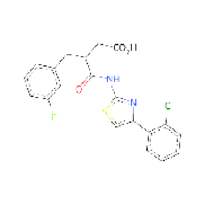 O=C(O)CC(Cc1cccc(F)c1)C(=O)Nc1nc(-c2ccccc2Cl)cs1